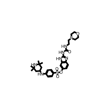 CC1(C)CC(Nc2ccc(S(=O)(=O)Oc3ccc4nc(NC(=O)NCCN5CCOCC5)[nH]c4c3)cc2)CC(C)(C)N1